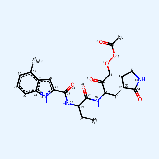 CCC(=O)OOCC(=O)C(C[C@@H]1CCNC1=O)NC(=O)C(CC(C)C)NC(=O)c1cc2c(OC)cccc2[nH]1